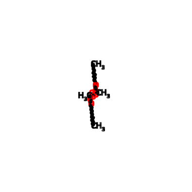 CCCCCCCCCCCCOCCOC(C)OC(=O)OC(C)OCCOCCCCCCCCCCCC